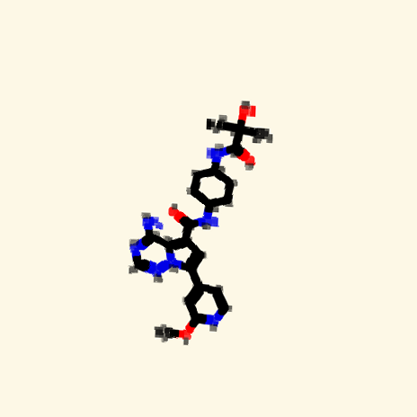 COc1cc(-c2cc(C(=O)NC3CCC(NC(=O)C(C)(C)O)CC3)c3c(N)ncnn23)ccn1